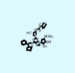 CC(=O)N[C@H]1C[C@@H](n2cnc3c(NCC(c4ccccc4)c4ccccc4)nc(N4CC[C@@H](NC(=O)Nc5cccnc5)C4)nc32)[C@H](O)[C@@H]1O.Cl